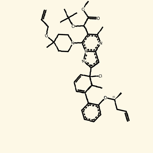 C=CCOC1(C)CCN(c2c(C(OC(C)(C)C)C(=O)OC)c(C)nc3cc(C4(Cl)C=CC=C(c5ccccc5O[C@@H](C)CC=C)C4C)nn23)CC1